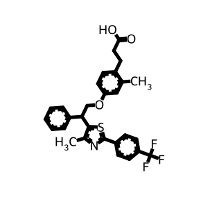 Cc1cc(OCC(c2ccccc2)c2sc(-c3ccc(C(F)(F)F)cc3)nc2C)ccc1CCC(=O)O